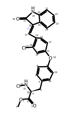 COC(=O)[C@H](Cc1ccc(Oc2ccc(/C=C3/C(=O)Nc4ccccc43)c(Cl)c2)cc1)NCl